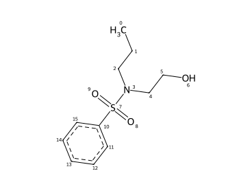 CCCN(CCO)S(=O)(=O)c1ccccc1